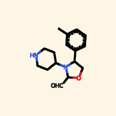 Cc1cccc(C2COC(C=O)N2C2CCNCC2)c1